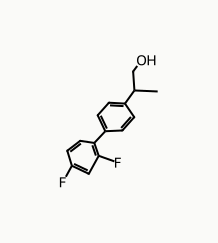 CC(CO)c1ccc(-c2ccc(F)cc2F)cc1